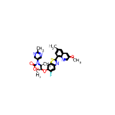 COc1cnc2c(-c3nc4cc(F)c(O[C@@H](C)[C@@H](C)N(C(=O)O)c5cnc(C)nc5)cc4s3)cc(C)cc2c1